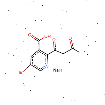 CC(=O)CC(=O)c1ncc(Br)cc1C(=O)O.[NaH]